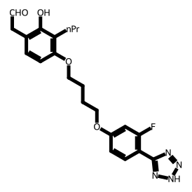 CCCc1c(OCCCCOc2ccc(-c3nn[nH]n3)c(F)c2)ccc(CC=O)c1O